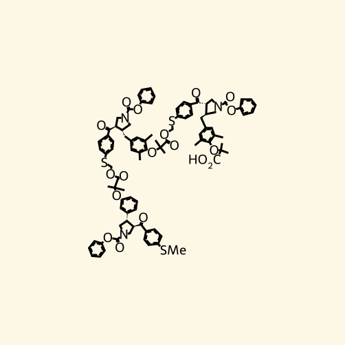 CSc1ccc(C(=O)[C@H]2CN(C(=O)Oc3ccccc3)C[C@@H]2c2cccc(OC(C)(C)C(=O)OCSc3ccc(C(=O)[C@H]4CN(C(=O)Oc5ccccc5)C[C@@H]4Cc4cc(C)c(OC(C)(C)C(=O)OCSc5ccc(C(=O)[C@@H]6CN(C(=O)Oc7ccccc7)C[C@H]6Cc6cc(C)c(OC(C)(C)C(=O)O)c(C)c6)cc5)c(C)c4)cc3)c2)cc1